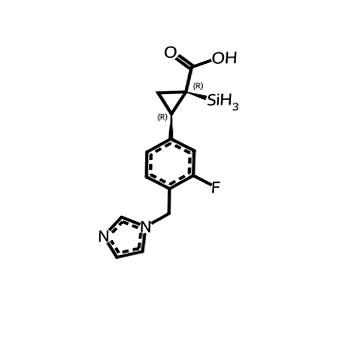 O=C(O)[C@@]1([SiH3])C[C@@H]1c1ccc(Cn2ccnc2)c(F)c1